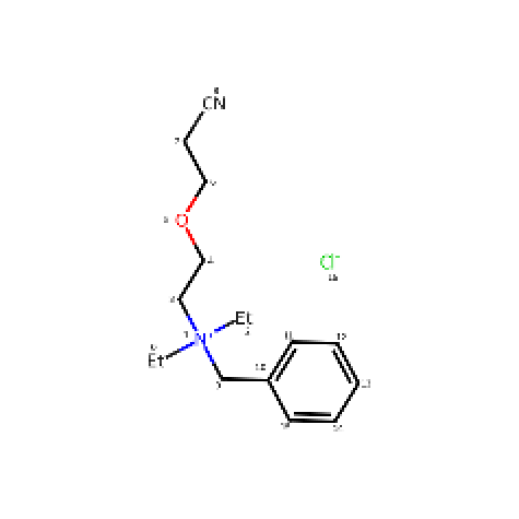 CC[N+](CC)(CCOCCC#N)Cc1ccccc1.[Cl-]